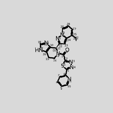 O=C(c1nnc(-c2ccccn2)s1)N1CCc2[nH]cnc2[C@H]1c1cc2c(F)cccn2n1